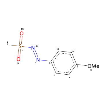 COc1ccc(N=NS(C)(=O)=O)cc1